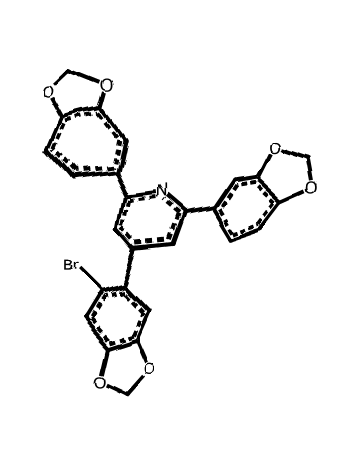 Brc1cc2c(cc1-c1cc(-c3ccc4c(c3)OCO4)nc(-c3ccc4c(c3)OCO4)c1)OCO2